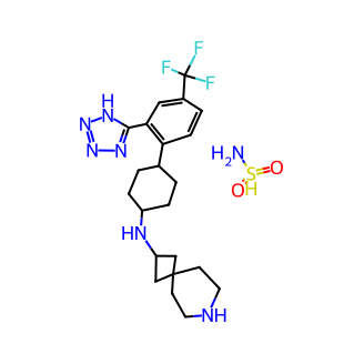 FC(F)(F)c1ccc(C2CCC(NC3CC4(CCNCC4)C3)CC2)c(-c2nnn[nH]2)c1.N[SH](=O)=O